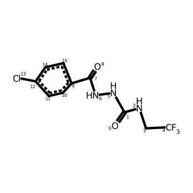 O=C(NCC(F)(F)F)NNC(=O)c1ccc(Cl)cc1